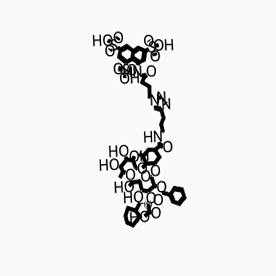 CC1CC(C(=O)NCCCc2cn(CCCC(=O)Nc3cc(S(=O)(=O)O)cc4cc(S(=O)(=O)O)cc(S(=O)(=O)O)c34)nn2)CC(OC2OC(CO)C(O)C(O[C@@H](CC3CCCCC3)C(=O)O)C2OC(=O)c2ccccc2)C1OC1OC(C)C(O)C(O)C1O